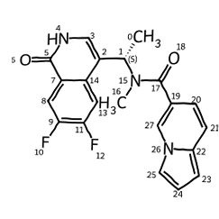 C[C@@H](c1c[nH]c(=O)c2cc(F)c(F)cc12)N(C)C(=O)c1ccc2cccn2c1